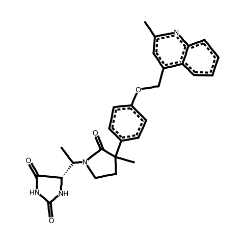 Cc1cc(COc2ccc(C3(C)CCN(C(C)[C@@H]4NC(=O)NC4=O)C3=O)cc2)c2ccccc2n1